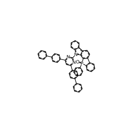 O=P1(c2ccccc2)c2ccccc2-c2ccc3c4ccccc4n(-c4nc(-c5ccc(-c6ccccc6)cc5)cc(-c5ccc(-c6ccccc6)cc5)n4)c3c21